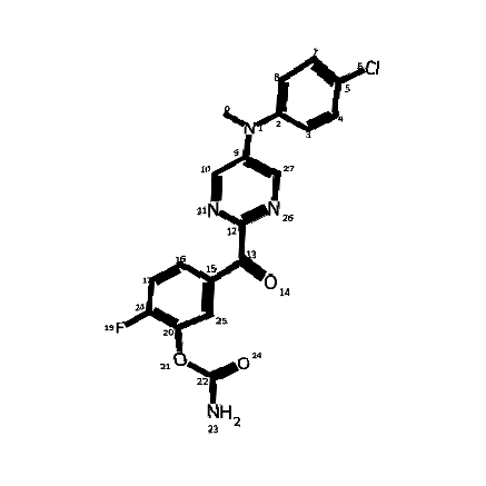 CN(c1ccc(Cl)cc1)c1cnc(C(=O)c2ccc(F)c(OC(N)=O)c2)nc1